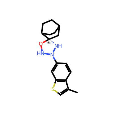 Cc1csc2cc(N3NO[C@@]4(CC5CCC4CC5)N3)ccc12